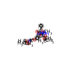 CC(=O)N[C@@H](CC(=O)OC(C)(C)C)C(=O)N[C@@H](CCc1ccccc1)C(=O)NCc1cc(OCC2CN(C(=O)OC(C)(C)C)C2)ccc1C